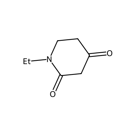 CCN1CCC(=O)CC1=O